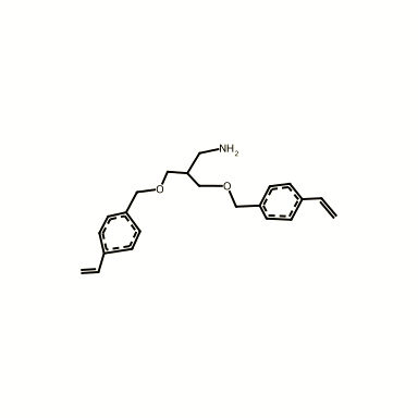 C=Cc1ccc(COCC(CN)COCc2ccc(C=C)cc2)cc1